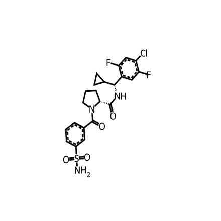 NS(=O)(=O)c1cccc(C(=O)N2CCC[C@@H]2C(=O)N[C@@H](c2cc(F)c(Cl)cc2F)C2CC2)c1